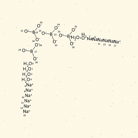 O.O.O.O.O.O.[Na+].[Na+].[Na+].[Na+].[Na+].[Na+].[Na+].[Na+].[Na+].[Na+].[Na+].[Na+].[O-]B([O-])[O-].[O-]B([O-])[O-].[O-]B([O-])[O-].[O-]B([O-])[O-]